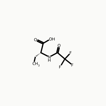 CC[C@@H](NC(=O)C(F)(F)F)C(=O)O